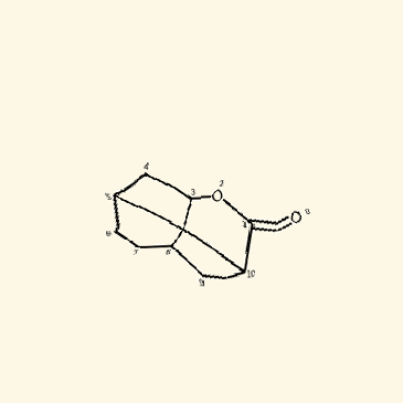 O=C1OC2CC3CCC2CC13